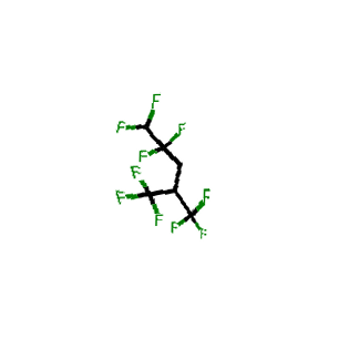 FC(F)C(F)(F)C[C](C(F)(F)F)C(F)(F)F